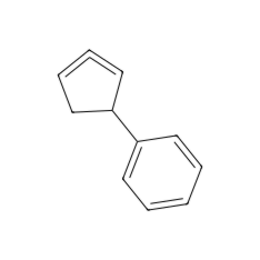 C1=CCC(c2ccccc2)C=1